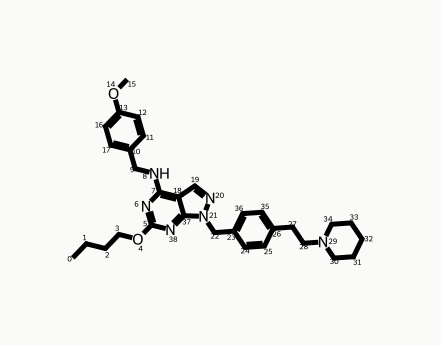 CCCCOc1nc(NCc2ccc(OC)cc2)c2cnn(Cc3ccc(CCN4CCCCC4)cc3)c2n1